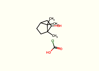 CC1(C)C2CCC1(C)C(O)C2.O=C(O)Cl